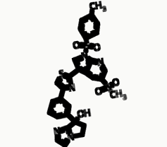 Cc1ccc(S(=O)(=O)n2cc(-c3nc(-c4cccc(C5(O)CCn6ccnc65)c4)cs3)c3cc(S(C)(=O)=O)cnc32)cc1